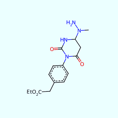 CCOC(=O)Cc1ccc(N2C(=O)CC(N(C)N)NC2=O)cc1